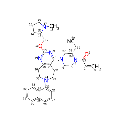 C=CC(=O)N1CCN(c2nc(OC[C@@H]3CCCN3C)nc3c2CCN(c2cccc4ccccc24)CC3)C[C@@H]1CC#N